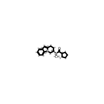 CN(C(=O)C1CCCC1)[C@@H]1CCc2[c]c3ccccc3n2C1